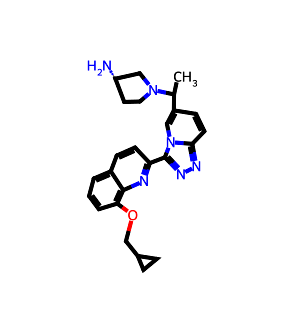 CC(c1ccc2nnc(-c3ccc4cccc(OCC5CC5)c4n3)n2c1)N1CC[C@H](N)C1